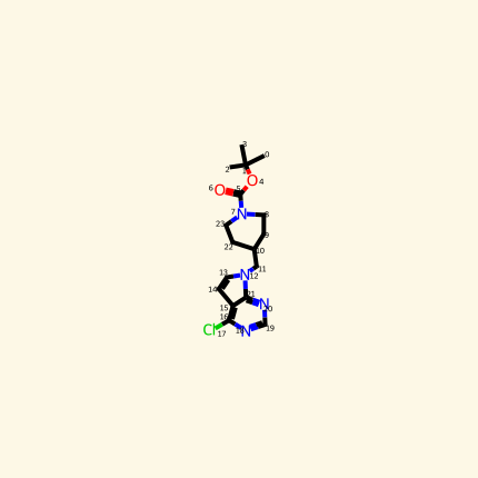 CC(C)(C)OC(=O)N1CCC(Cn2ccc3c(Cl)ncnc32)CC1